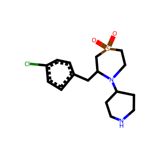 O=S1(=O)CCN(C2CCNCC2)C(Cc2ccc(Cl)cc2)C1